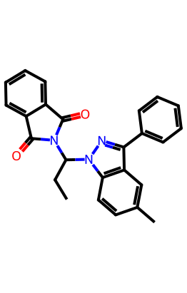 CCC(N1C(=O)c2ccccc2C1=O)n1nc(-c2ccccc2)c2cc(C)ccc21